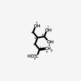 C=C(CC(CO)C(O)O)C(=O)O